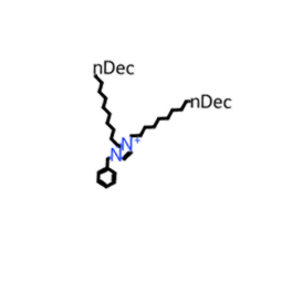 CCCCCCCCCCCCCCCCCCCc1n(Cc2ccccc2)cc[n+]1CCCCCCCCCCCCCCCCCCC